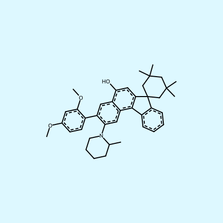 COc1ccc(-c2cc3c(O)cc4c(c3cc2N2CCCCC2C)-c2ccccc2C42CC(C)(C)CC(C)(C)C2)c(OC)c1